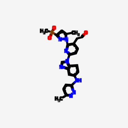 Cc1ccc(Nc2ccc3c(c2)ncn3-c2ccc(CC=O)c(-n3nc(S(C)(=O)=O)cc3C)n2)nn1